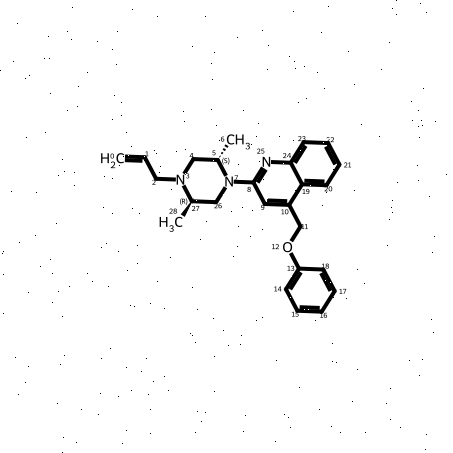 C=CCN1C[C@H](C)N(c2cc(COc3ccccc3)c3ccccc3n2)C[C@H]1C